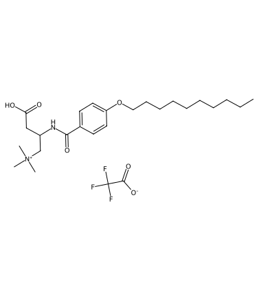 CCCCCCCCCCOc1ccc(C(=O)NC(CC(=O)O)C[N+](C)(C)C)cc1.O=C([O-])C(F)(F)F